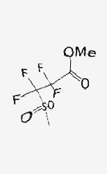 COC(=O)C(F)(F)C(F)(F)S(C)(=O)=O